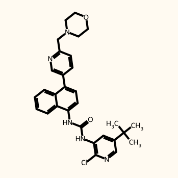 CC(C)(C)c1cnc(Cl)c(NC(=O)Nc2ccc(-c3ccc(CN4CCOCC4)nc3)c3ccccc23)c1